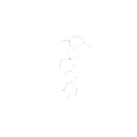 O=c1ccc(Br)cn1CC1(O)CCNC(Cc2ccc(F)cc2)C1